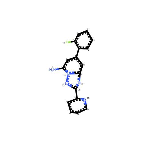 Nc1cc(-c2ccccc2F)cc2nc(-c3ccccn3)nn12